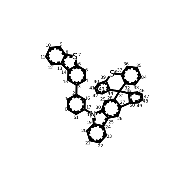 c1cc(-c2ccc3sc4ccccc4c3c2)cc(-n2c3ccccc3c3cc4c(cc32)C2(c3ccccc3Sc3ccccc32)c2ccccc2-4)c1